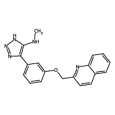 CNc1[nH]nnc1-c1cccc(OCc2ccc3ccccc3n2)c1